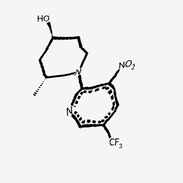 C[C@@H]1C[C@@H](O)CCN1c1ncc(C(F)(F)F)cc1[N+](=O)[O-]